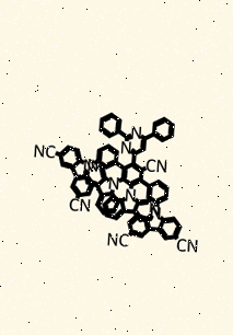 N#Cc1ccc2c(c1)c1cc(C#N)ccc1n2-c1cccc(-c2c(C#N)c(-c3cc(-c4ccccc4)nc(-c4ccccc4)n3)c(-c3cccc(-n4c5ccc(C#N)cc5c5cc(C#N)ccc54)c3)c(-n3c4ccccc4c4ccncc43)c2-n2c3ccccc3c3ccncc32)c1